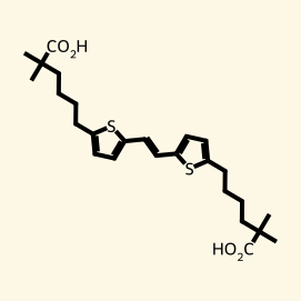 CC(C)(CCCCc1ccc(/C=C/c2ccc(CCCCC(C)(C)C(=O)O)s2)s1)C(=O)O